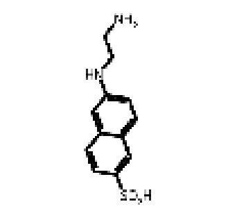 NCCNc1ccc2cc(S(=O)(=O)O)ccc2c1